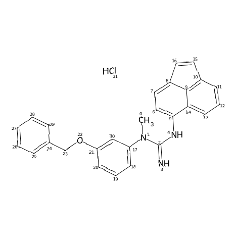 CN(C(=N)Nc1ccc2c3c(cccc13)C=C2)c1cccc(OCc2ccccc2)c1.Cl